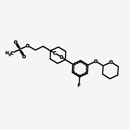 CS(=O)(=O)OCCC12CCC(c3cc(F)cc(OC4CCCCO4)c3)(CC1)OC2